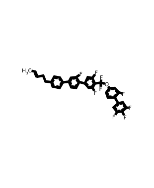 C/C=C/CCc1ccc(-c2ccc(-c3cc(F)c(C(F)(F)Oc4ccc(-c5cc(F)c(F)c(F)c5)c(F)c4)c(F)c3)c(F)c2)cc1